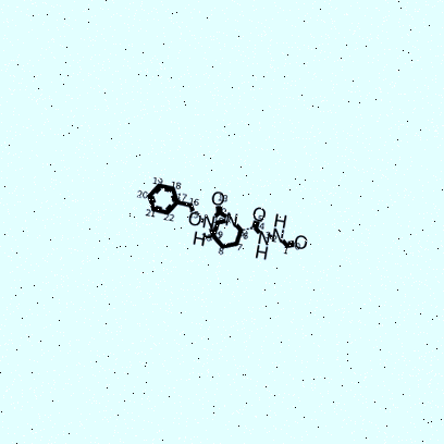 O=CNNC(=O)[C@@H]1CC[C@H]2CN1C(=O)N2OCc1ccccc1